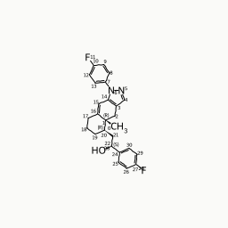 C[C@]12Cc3cnn(-c4ccc(F)cc4)c3C=C1CCC[C@@H]2C[C@H](O)c1ccc(F)cc1